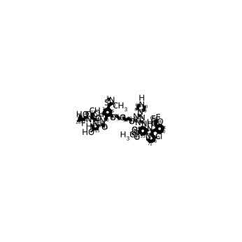 Cc1ncsc1-c1ccc(CNC(=O)[C@@H]2C[C@@H](O)CN2C(=O)[C@@H](NC(=O)C2(F)CC2)C(C)(C)C)c(OCCOCCOc2nc(Nc3cc(S(C)(=O)=O)ccc3N[C@@H](c3cccc4c3OC(F)(F)O4)c3ncccc3Cl)nc(N3CCNCC3)n2)c1